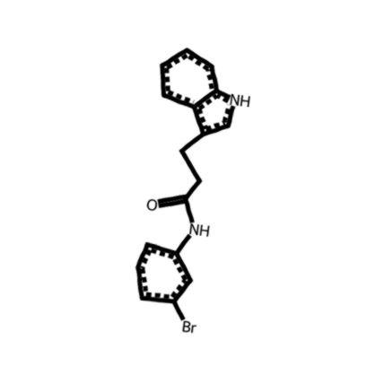 O=C(CCc1c[nH]c2ccccc12)Nc1cccc(Br)c1